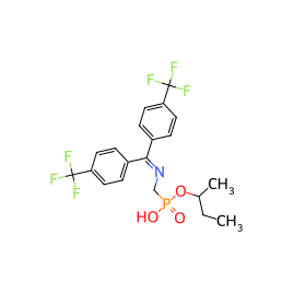 CCC(C)OP(=O)(O)CN=C(c1ccc(C(F)(F)F)cc1)c1ccc(C(F)(F)F)cc1